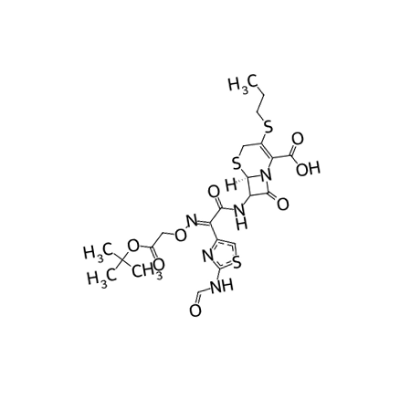 CCCSC1=C(C(=O)O)N2C(=O)C(NC(=O)/C(=N/OCC(=O)OC(C)(C)C)c3csc(NC=O)n3)[C@H]2SC1